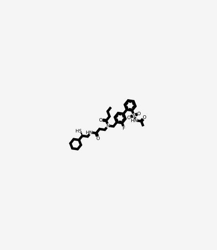 CCCC(=O)N(CCC(=O)NC[C@H](S)C1CCCCC1)Cc1ccc(-c2ccccc2S(=O)(=O)NC(C)=O)cc1F